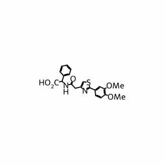 COc1ccc(-c2nc(CC(=O)NC(C(=O)O)c3ccccc3)cs2)cc1OC